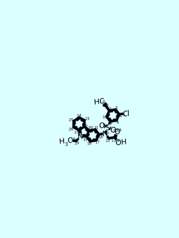 C#Cc1cc(Cl)cc(S(=O)(=O)N(CC(=O)O)c2ccc3c(c2)c2ccccc2n3CC)c1